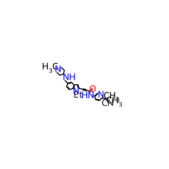 CCn1c(C#CC(=O)Nc2ccc(C(C)(C)C#N)nc2)cc2cc(CNC3CCN(C)CC3)ccc21